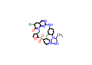 CC1CNCCN1c1ccc(Nc2ncc3cc(Br)c(=O)n(Cc4ccoc4S(=O)(=O)c4ccncc4)c3n2)cc1F